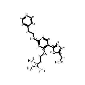 C[Si](C)(C)CCOc1nc(NCCc2ccncc2)ncc1-c1nnc(CO)o1